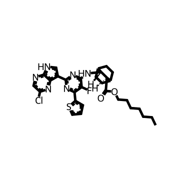 CCCCCCCOC(=O)[C@@H]1C2CCC(CC2)[C@H]1Nc1nc(-c2c[nH]c3ncc(Cl)nc23)nc(-c2cccs2)c1F